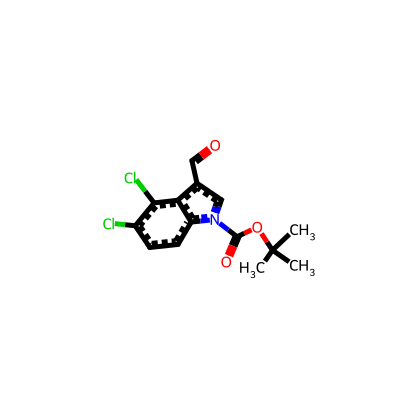 CC(C)(C)OC(=O)n1cc(C=O)c2c(Cl)c(Cl)ccc21